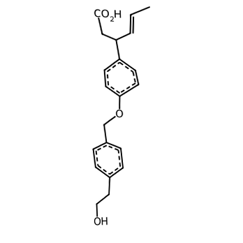 CC=CC(CC(=O)O)c1ccc(OCc2ccc(CCO)cc2)cc1